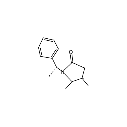 C[C]1CC(=O)N([C@H](C)c2ccccc2)C1C